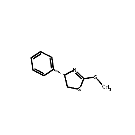 CSC1=N[C@@H](c2ccccc2)CS1